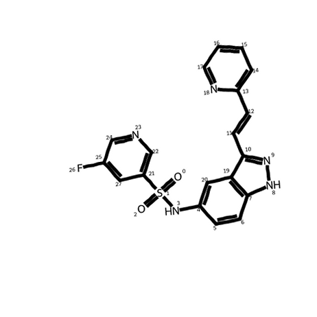 O=S(=O)(Nc1ccc2[nH]nc(C=Cc3ccccn3)c2c1)c1cncc(F)c1